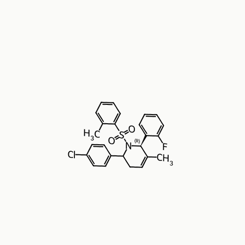 CC1=CCC(c2ccc(Cl)cc2)N(S(=O)(=O)c2ccccc2C)[C@H]1c1ccccc1F